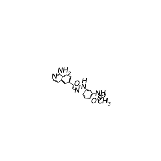 CS(=O)(=O)Nc1cccc(Nc2ncc(-c3ccc4c(N)nccc4c3)o2)c1